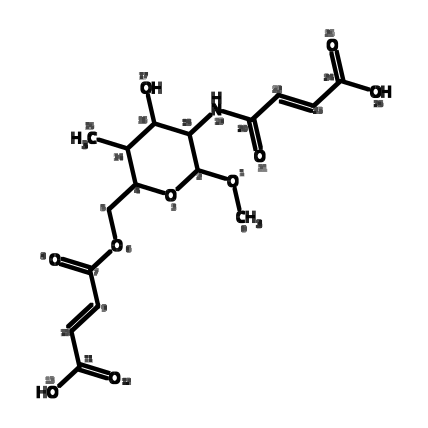 COC1OC(COC(=O)/C=C/C(=O)O)C(C)C(O)C1NC(=O)/C=C/C(=O)O